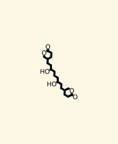 O=C1CCC(CCC(O)CCCC(O)CCC2CCC(=O)OC2)CO1